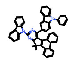 CC1(C)c2nc(-n3c4ccccc4c4ccccc43)nc(-c3ccc4c(c3)c3ccccc3n4-c3ccccc3)c2-c2c1c1ccccc1c1ccccc21